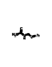 CCCOCNC(N)=O